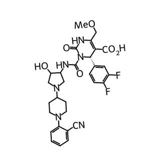 COCC1=C(C(=O)O)[C@H](c2ccc(F)c(F)c2)N(C(=O)NC2CN(C3CCN(c4ccccc4C#N)CC3)CC2O)C(=O)N1